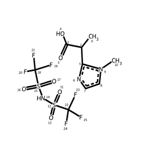 CC(C(=O)O)c1nccn1C.O=S(=O)(NS(=O)(=O)C(F)(F)F)C(F)(F)F